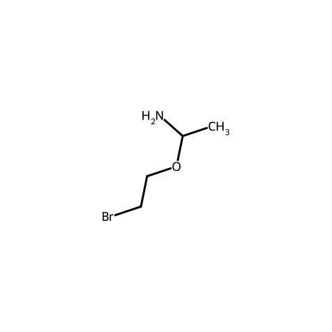 CC(N)OCCBr